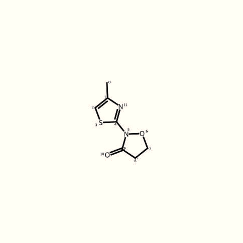 Cc1csc(N2OC[CH]C2=O)n1